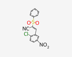 N#CC(=Cc1cc([N+](=O)[O-])ccc1Cl)S(=O)(=O)c1ccccc1